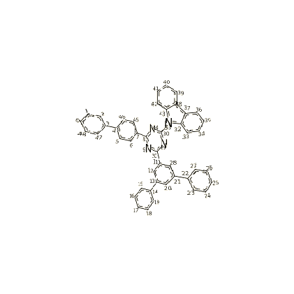 c1ccc(-c2ccc(-c3nc(-c4cc(-c5ccccc5)cc(-c5ccccc5)c4)nc(-n4c5ccccc5c5ccccc54)n3)cc2)cc1